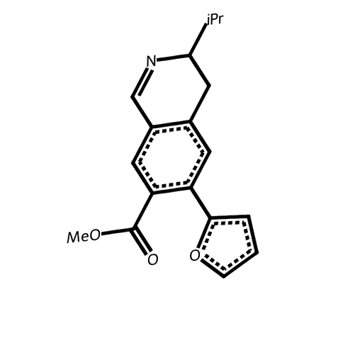 COC(=O)c1cc2c(cc1-c1ccco1)CC(C(C)C)N=C2